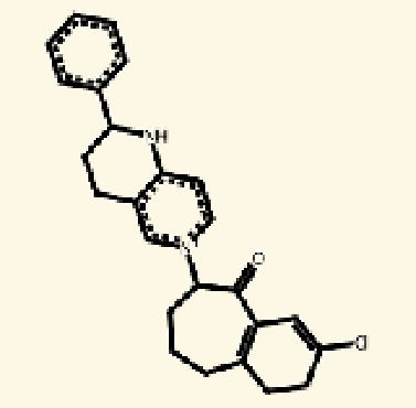 O=C1C2=C(CCCC1[n+]1ccc3c(c1)CCC(c1ccccc1)N3)CCC(Cl)=C2